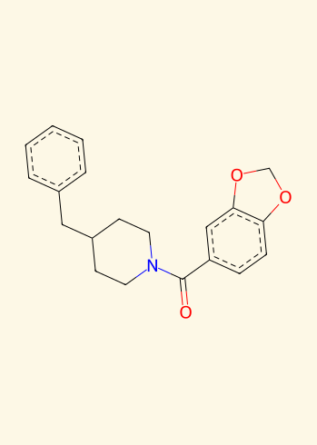 O=C(c1ccc2c(c1)OCO2)N1CCC(Cc2ccccc2)CC1